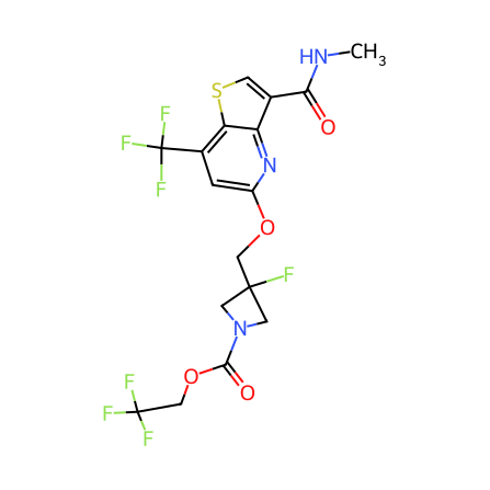 CNC(=O)c1csc2c(C(F)(F)F)cc(OCC3(F)CN(C(=O)OCC(F)(F)F)C3)nc12